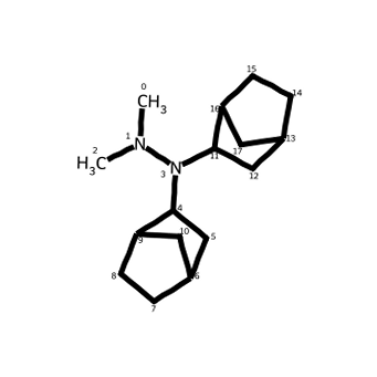 CN(C)N(C1CC2CCC1C2)C1CC2CCC1C2